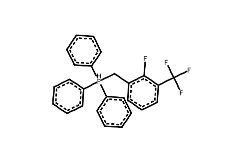 Fc1c(C[PH](c2ccccc2)(c2ccccc2)c2ccccc2)cccc1C(F)(F)F